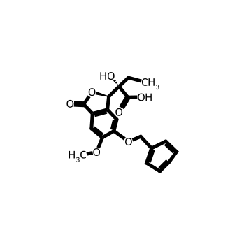 CC[C@@](O)(C(=O)O)[C@@H]1OC(=O)c2cc(OC)c(OCc3ccccc3)cc21